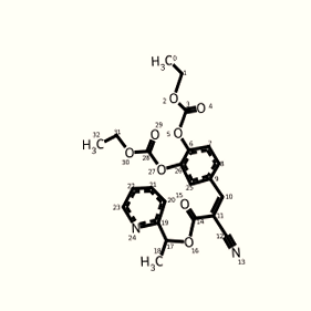 CCOC(=O)Oc1ccc(C=C(C#N)C(=O)OC(C)c2ccccn2)cc1OC(=O)OCC